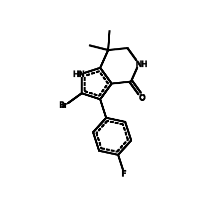 CC1(C)CNC(=O)c2c1[nH]c(Br)c2-c1ccc(F)cc1